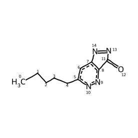 CCCCCc1cc2c(nn1)C(=O)N=N2